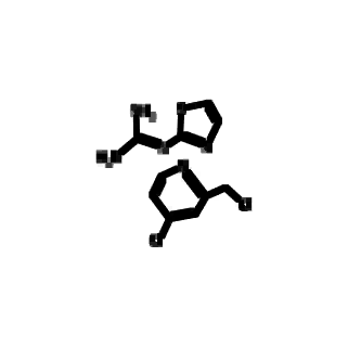 ClCc1cc(Cl)ccn1.NC(N)=Nc1nccs1